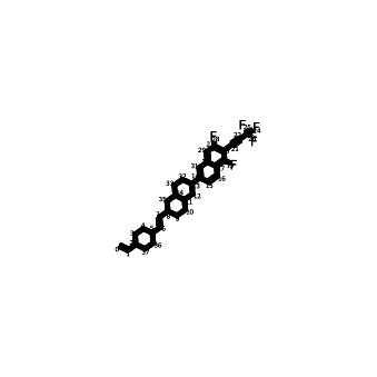 C=CC1CCC(/C=C/C2CCC3CC(c4ccc5c(F)c(C#CC(F)(F)F)c(F)cc5c4)CCC3C2)CC1